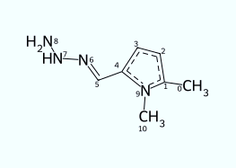 Cc1ccc(C=NNN)n1C